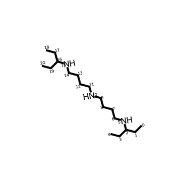 CCC(CC)NCCCCNCCCCNC(CC)CC